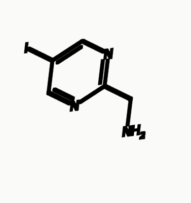 NCc1ncc(I)cn1